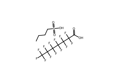 CCCCS(=O)(=O)O.O=C(O)C(F)(F)C(F)(F)C(F)(F)C(F)(F)C(F)(F)C(F)(F)F